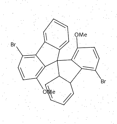 COc1ccc(Br)c2c1C1(c3ccccc3-2)c2c(OC)ccc(Br)c2C2C=CC=CC21